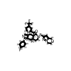 O=C(c1cc(C(F)(F)F)ccn1)[C@]12Cc3cnn(-c4ccc(F)cc4)c3C[C@@H]1CCN(Sc1cc3n(n1)CCOC3)C2